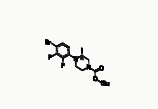 C[C@H]1CN(C(=O)OC(C)(C)C)CCN1c1ccc(Br)c(F)c1F